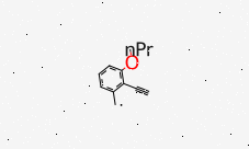 C#Cc1c([CH2])cccc1OCCC